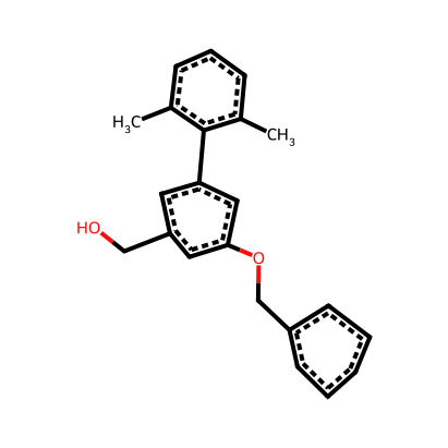 Cc1cccc(C)c1-c1cc(CO)cc(OCc2ccccc2)c1